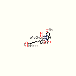 CCCCCCCC1(CCCCCCC=C[C@H](C(=O)N[C@@H](Cc2ccc(OCCCC)cc2)C(=O)OC)[C@@](O)(CCOC)C(=O)O)OCCO1